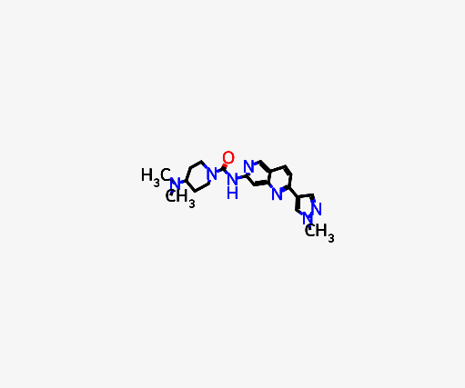 CN(C)C1CCN(C(=O)Nc2cc3nc(-c4cnn(C)c4)ccc3cn2)CC1